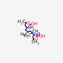 C=CCC(CC(C)CC(C)(C)C(CC=C)NC(=O)O)NC(=O)O